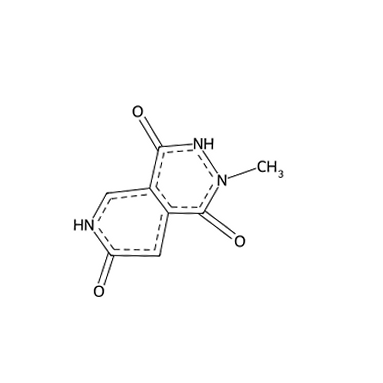 Cn1[nH]c(=O)c2c[nH]c(=O)cc2c1=O